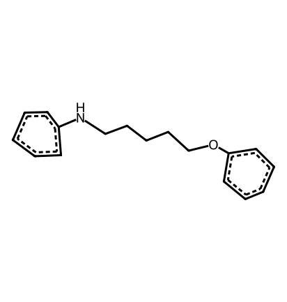 c1ccc(NCCCCCOc2ccccc2)cc1